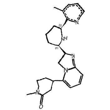 Cc1cccnc1[C@@H]1CCC[C@H](C2CN3C(C4CCN(C)C(=O)C4)=CC=CC3=N2)N1